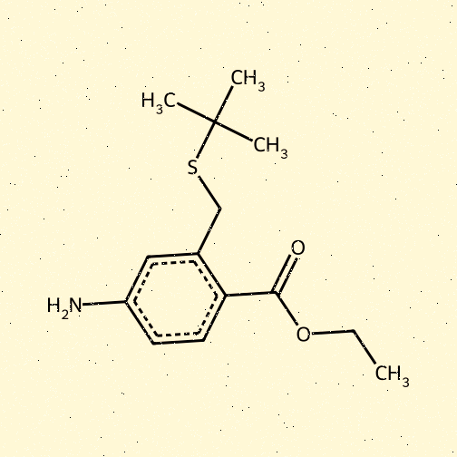 CCOC(=O)c1ccc(N)cc1CSC(C)(C)C